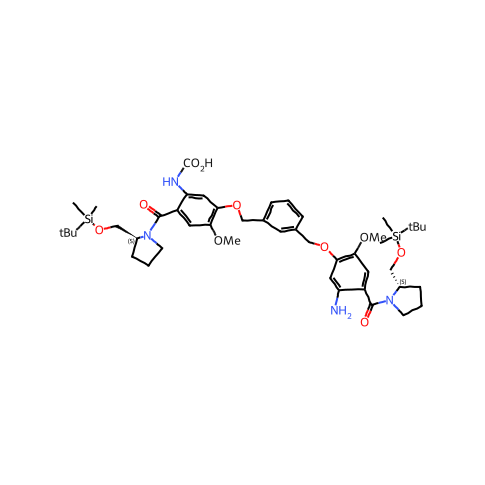 COc1cc(C(=O)N2CCC[C@H]2CO[Si](C)(C)C(C)(C)C)c(N)cc1OCc1cccc(COc2cc(NC(=O)O)c(C(=O)N3CCC[C@H]3CO[Si](C)(C)C(C)(C)C)cc2OC)c1